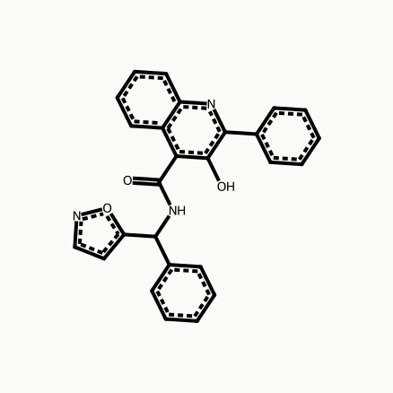 O=C(NC(c1ccccc1)c1ccno1)c1c(O)c(-c2ccccc2)nc2ccccc12